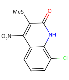 CSc1c([N+](=O)[O-])c2cccc(Cl)c2[nH]c1=O